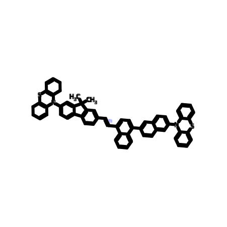 CC1(C)c2cc(/C=C/c3ccc(-c4ccc5cc(N6c7ccccc7Sc7ccccc76)ccc5c4)c4ccccc34)ccc2-c2ccc(N3C4=C(CCC=C4)SC4=C3CCC=C4)cc21